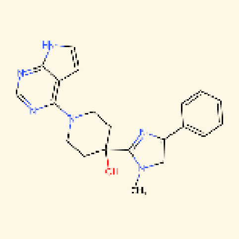 Cn1cc(-c2ccccc2)nc1C1(O)CCN(c2ncnc3[nH]ccc23)CC1